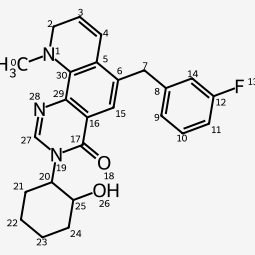 CN1CC=Cc2c(Cc3cccc(F)c3)cc3c(=O)n(C4CCCCC4O)cnc3c21